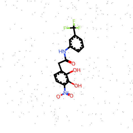 O=C(Cc1ccc([N+](=O)[O-])c(O)c1O)Nc1cccc(C(F)(F)F)c1